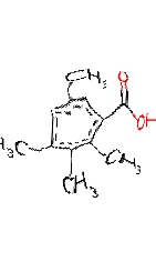 Cc1cc(C)c(C(=O)O)c(C)c1C